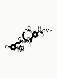 COC(=O)Nc1ccc2c(c1)NC(=O)OCCCC(NC(=O)C=Cc1cc(Cl)ccc1-n1cnnn1)c1nc-2c[nH]1